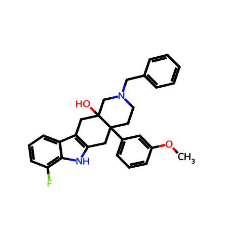 COc1cccc(C23CCN(Cc4ccccc4)CC2(O)Cc2c([nH]c4c(F)cccc24)C3)c1